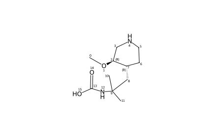 CO[C@H]1CNCC[C@@H]1CC(C)(C)NC(=O)O